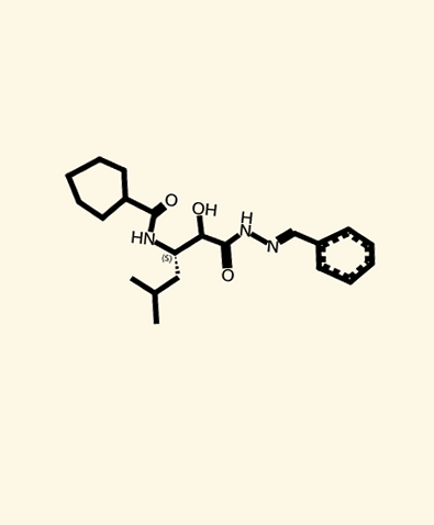 CC(C)C[C@H](NC(=O)C1CCCCC1)C(O)C(=O)NN=Cc1ccccc1